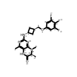 Cc1nc(N[C@H]2C[C@H](COc3cc(F)c(F)c(F)c3)C2)nc2c1NC(=O)[C@H](C)N2C